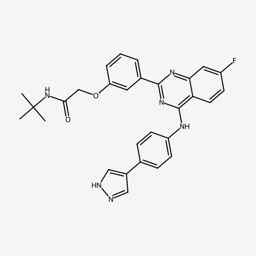 CC(C)(C)NC(=O)COc1cccc(-c2nc(Nc3ccc(-c4cn[nH]c4)cc3)c3ccc(F)cc3n2)c1